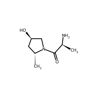 C[C@H](N)C(=O)N1C[C@H](O)C[C@H]1C